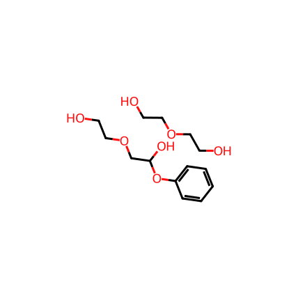 OCCOCC(O)Oc1ccccc1.OCCOCCO